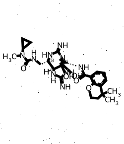 CN(C(=O)NC[C@@H]1NC(=N)N2C[C@H](NC(=O)c3cccc4c3OCCC4(C)C)C(O)(O)[C@@]23NC(=N)N[C@@H]13)C1CC1